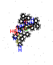 O=C(O)C1=C(Sc2cccnc2CSC2CCNC2)C(C(c2ccccc2)c2ccccc2)CC2C(NC(=O)C(=NOC(c3ccccc3)(c3ccccc3)c3ccccc3)c3nc(NC(c4ccccc4)(c4ccccc4)c4ccccc4)sc3Cl)C(=O)N12